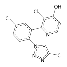 Oc1ncnc(-c2cc(Cl)ccc2-n2cc(Cl)nn2)c1Cl